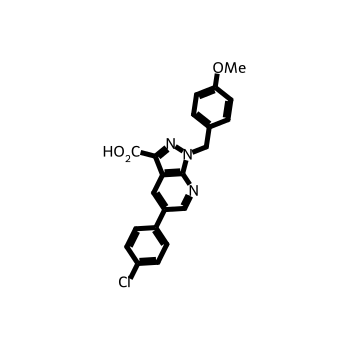 COc1ccc(Cn2nc(C(=O)O)c3cc(-c4ccc(Cl)cc4)cnc32)cc1